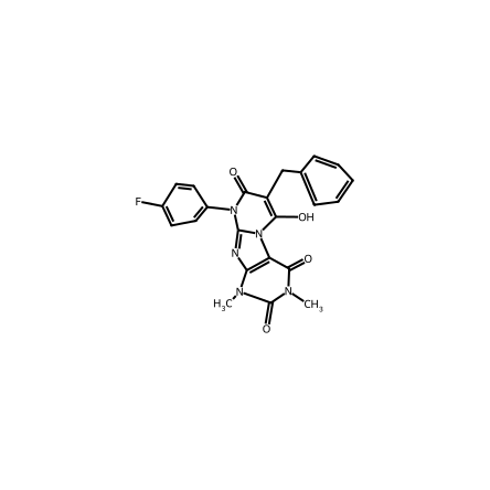 Cn1c(=O)c2c(nc3n(-c4ccc(F)cc4)c(=O)c(Cc4ccccc4)c(O)n23)n(C)c1=O